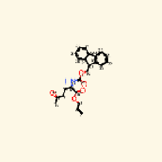 C=CCOC(=O)C(CCC(C)=O)NC(=O)OCC1c2ccccc2-c2ccccc21